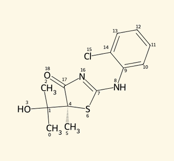 CC(C)(O)[C@]1(C)SC(Nc2ccccc2Cl)=NC1=O